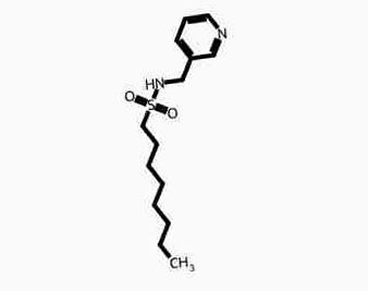 CCCCCCCCS(=O)(=O)NCc1cccnc1